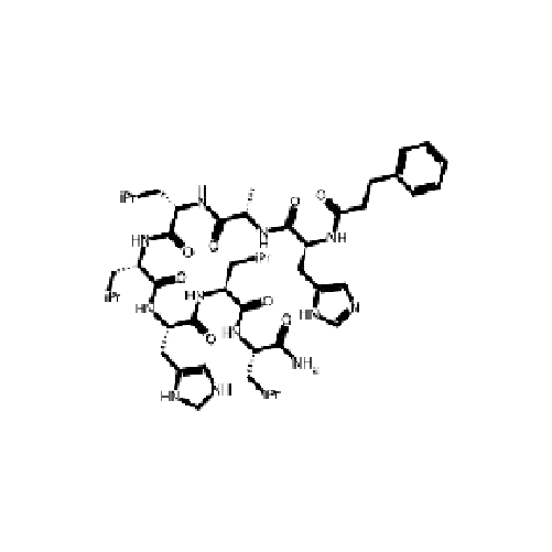 CC(C)C[C@H](NC(=O)[C@H](CC(C)C)NC(=O)[C@H](CC1=CNCN1)NC(=O)[C@H](CC(C)C)NC(=O)[C@H](CC(C)C)NC(=O)[C@H](C)NC(=O)[C@H](Cc1cnc[nH]1)NC(=O)CCc1ccccc1)C(N)=O